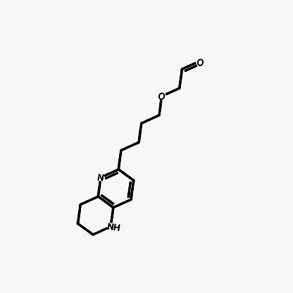 O=CCOCCCCc1ccc2c(n1)CCCN2